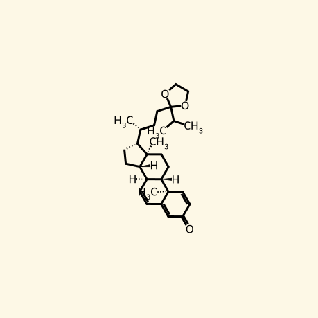 CC(C)C1(CC[C@@H](C)[C@H]2CC[C@H]3[C@@H]4C=CC5=CC(=O)C=C[C@]5(C)[C@H]4CC[C@]23C)OCCO1